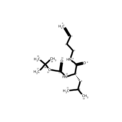 C=CCCNC(=O)[C@H](CC(C)C)NC(=O)OC(C)(C)C